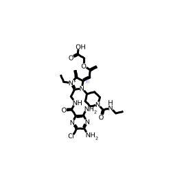 C=C(/C=c1\c(=C)[n+](CC)c(CNC(=O)c2nc(Cl)c(N)nc2N)n1C1CCN(C(=O)NCC)CC1)OCC(=O)O